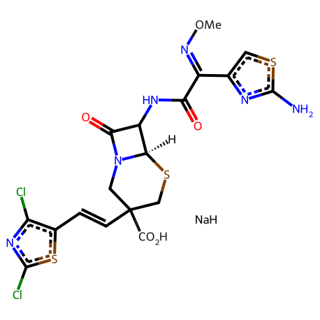 CON=C(C(=O)NC1C(=O)N2CC(C=Cc3sc(Cl)nc3Cl)(C(=O)O)CS[C@H]12)c1csc(N)n1.[NaH]